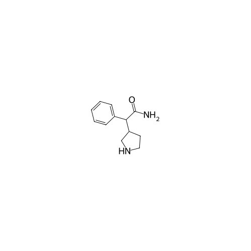 NC(=O)C(c1ccccc1)C1CCNC1